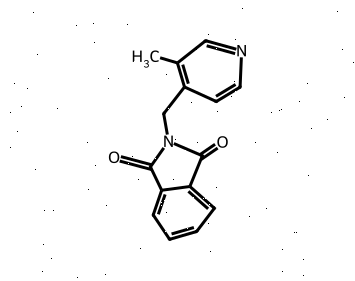 Cc1cnccc1CN1C(=O)c2ccccc2C1=O